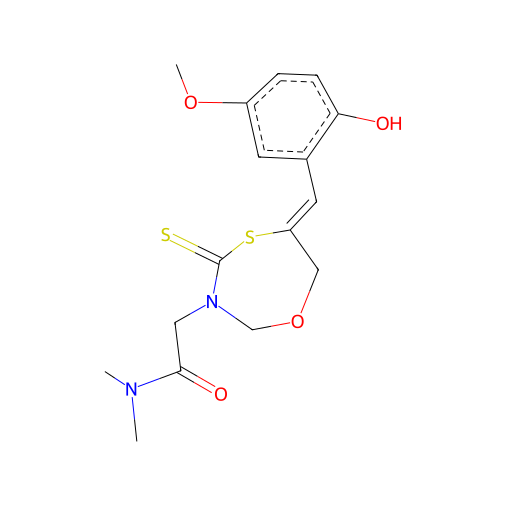 COc1ccc(O)c(/C=C2/COCN(CC(=O)N(C)C)C(=S)S2)c1